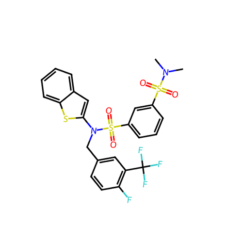 CN(C)S(=O)(=O)c1cccc(S(=O)(=O)N(Cc2ccc(F)c(C(F)(F)F)c2)c2cc3ccccc3s2)c1